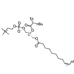 CCCCCCCC/C=C\CCCCCCCC(=O)OC[C@H](COP(=O)([O-])OCC[N+](C)(C)C)OC(=O)C(CC)CCCC